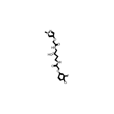 Cn1cc(OCC(=O)NC[C@@H](O)CCNC(=O)COc2ccc(Cl)c(F)c2)cn1